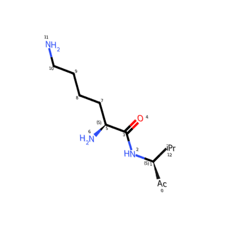 CC(=O)[C@@H](NC(=O)[C@@H](N)CCCCN)C(C)C